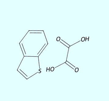 O=C(O)C(=O)O.c1ccc2sccc2c1